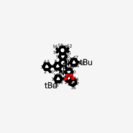 Cc1ccccc1-c1cc2c3c(c1)N(c1ccc(C(C)(C)C)cc1-c1ccccc1)c1c(ccc4c1sc1ccccc14)B3N(c1ccc(C(C)(C)C)cc1)c1cc3c(cc1-2)C(C)(C)CCC3(C)C